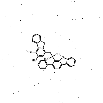 CC(C)(C)c1cc(CC(C)(C)c2c(-c3ccccc3)ccc3c2oc2ccccc23)c2sc3ccccc3c2c1C(C)(C)C